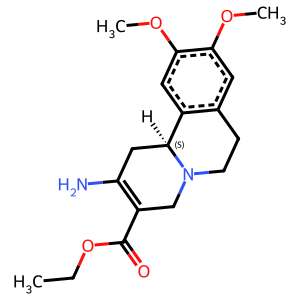 CCOC(=O)C1=C(N)C[C@H]2c3cc(OC)c(OC)cc3CCN2C1